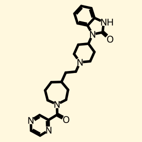 O=C(c1cnccn1)N1CCCC(CCN2CCC(n3c(=O)[nH]c4ccccc43)CC2)CC1